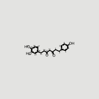 O=C(CCc1ccc(O)cc1)CC(=O)CCc1ccc(O)c(O)c1